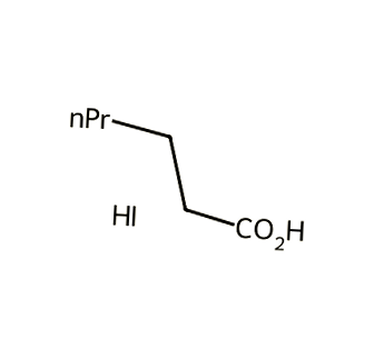 CCCCCC(=O)O.I